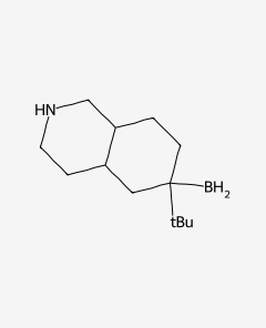 BC1(C(C)(C)C)CCC2CNCCC2C1